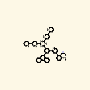 C=Nc1cccc(-c2ccnc(-c3cc(-c4nc(-c5ccc(-c6ccccn6)cn5)nc(-c5ccc(-c6ccccn6)cn5)n4)cc(-c4cc5ccccc5c5ccccc45)c3)c2)c1/C=C\C